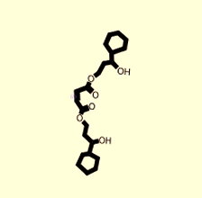 O=C(/C=C\C(=O)OCCC(O)C1CCCCC1)OCCC(O)C1CCCCC1